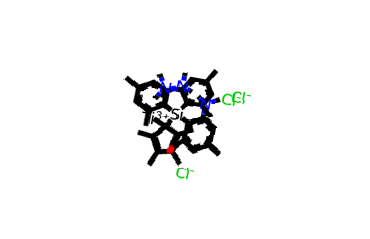 CC1=C(C)[C]([Ti+3])([Si](c2c(C)cc(C)cc2N(C)C)(c2c(C)cc(C)cc2N(C)C)c2c(C)cc(C)cc2N(C)C)C(C)=C1C.[Cl-].[Cl-].[Cl-]